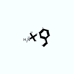 C=Cc1ccccc1.CC(C)(C)N